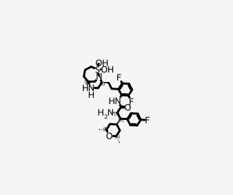 C[C@@H]1CC([C@H](c2ccc(F)cc2)[C@H](N)C(=O)Nc2c(F)ccc(F)c2CC[C@H]2CN[C@@H]3CCCS(O)(O)N2C3)C[C@H](C)O1